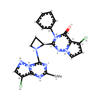 CSc1nc(N2CC[C@H]2c2nn3ccc(Cl)c3c(=O)n2-c2ccccc2)n2ncc(Cl)c2n1